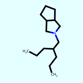 CCCC(CCC)CN1CC2CCCC2C1